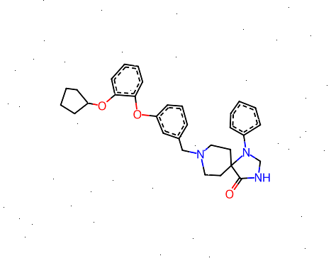 O=C1NCN(c2ccccc2)C12CCN(Cc1cccc(Oc3ccccc3OC3CCCC3)c1)CC2